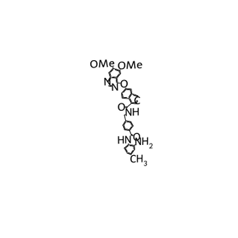 COc1cc2ncnc(Oc3ccc4c(C(=O)NCc5ccc(C(=O)Nc6ccc(C)cc6N)cc5)cccc4c3)c2cc1OC